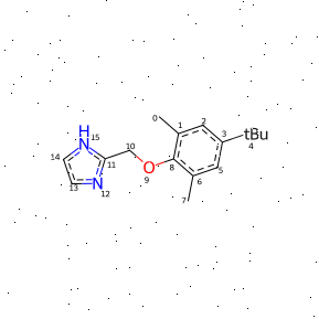 Cc1cc(C(C)(C)C)cc(C)c1OCc1ncc[nH]1